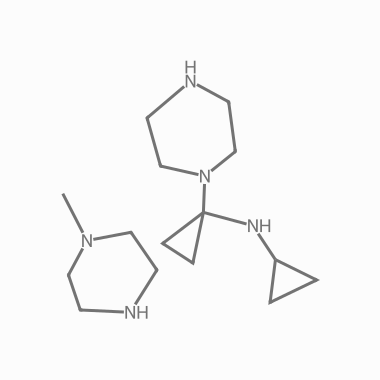 C1CN(C2(NC3CC3)CC2)CCN1.CN1CCNCC1